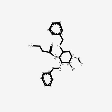 CCCC(=O)N[C@H]1C(OCc2ccccc2)C[C@H](CO)[C@@H](O)[C@@H]1OCc1ccccc1